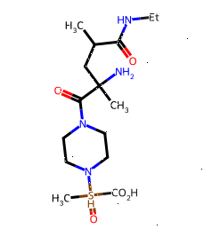 CCNC(=O)C(C)CC(C)(N)C(=O)N1CCN([SH](C)(=O)C(=O)O)CC1